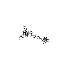 O=P1(c2ccc(-c3ccc(-c4ccc(-c5ccc(-c6nc(-c7ccc(F)cc7)nc(-c7ccc(F)cc7)n6)c6ccccc56)cc4)cc3)cc2)c2ccccc2-c2ccccc21